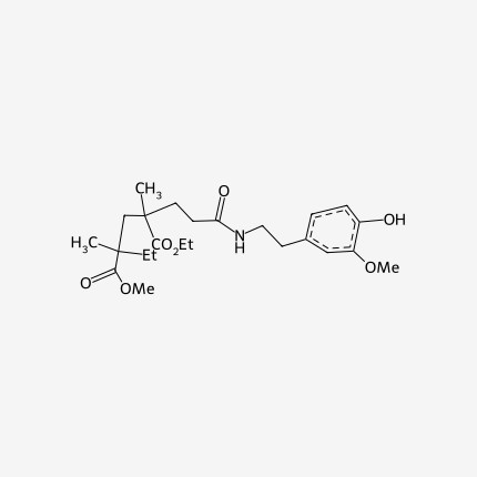 CCOC(=O)C(C)(CCC(=O)NCCc1ccc(O)c(OC)c1)CC(C)(CC)C(=O)OC